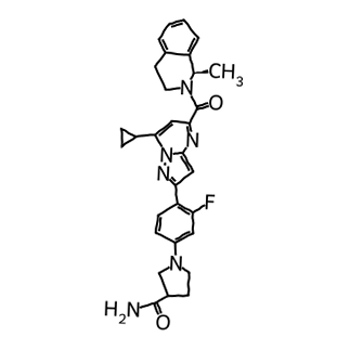 C[C@@H]1c2ccccc2CCN1C(=O)c1cc(C2CC2)n2nc(-c3ccc(N4CCC(C(N)=O)C4)cc3F)cc2n1